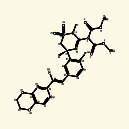 CN1C(N(C(=O)OC(C)(C)C)C(=O)OC(C)(C)C)=N[C@](C)(c2cc(/C=C(\F)c3ncc4c(n3)OCCO4)ccc2F)CS1(=O)=O